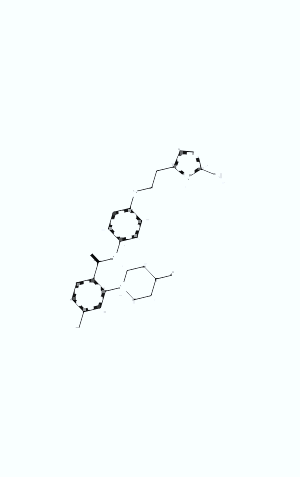 Cc1ccc(C(=O)Nc2ccc(NCCc3csc(N)n3)cc2)c(N2CCC(C)CC2)c1